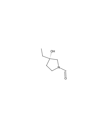 CC[C@]1(O)CCN([C]=O)C1